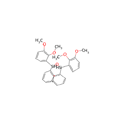 COc1cccc([SiH](O[SiH](c2ccccc2)c2cccc(OC)c2OC)c2ccccc2)c1OC